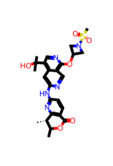 CC1OC(=O)c2ccc(Nc3cc4c(C(C)(C)O)cnc(OC5CN(S(C)(=O)=O)C5)c4cn3)nc2[C@H]1C